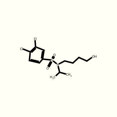 CC(C)N(CCCCO)S(=O)(=O)c1ccc(Cl)c(Cl)c1